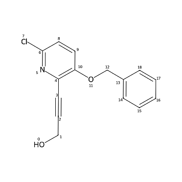 OCC#Cc1nc(Cl)ccc1OCc1ccccc1